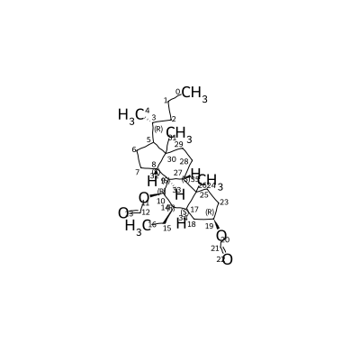 CCC[C@@H](C)C1CC[C@H]2[C@@H]3[C@H](OC=O)[C@H](CC)[C@@H]4C[C@H](OC=O)CCC4(C)[C@H]3CCC12C